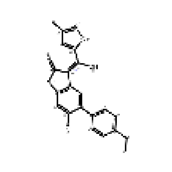 CCc1ccc(-c2cc3c(cc2Cl)NC(=O)/C3=C(/O)c2cc(C)no2)cc1